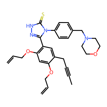 C=CCOc1cc(OCC=C)c(-c2n[nH]c(=S)n2-c2ccc(CN3CCOCC3)cc2)cc1CC#CC